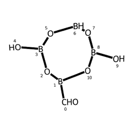 O=CB1OB(O)OBOB(O)O1